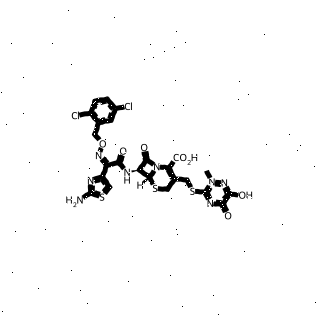 Cn1nc(O)c(=O)nc1SCC1=C(C(=O)O)N2C(=O)[C@@H](NC(=O)/C(=N\OCc3cc(Cl)ccc3Cl)c3csc(N)n3)[C@H]2SC1